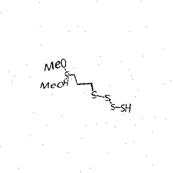 CO[SiH](CCCSSSS)OC